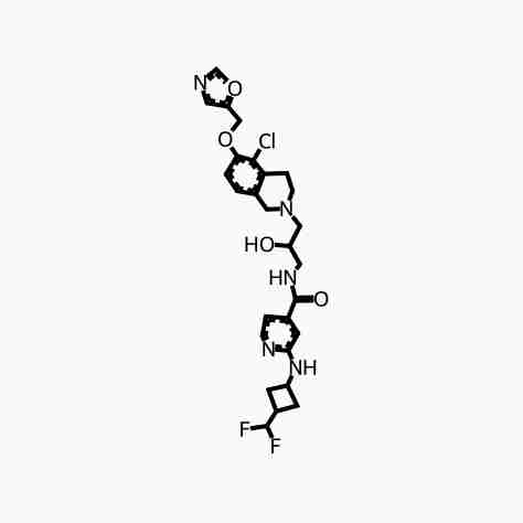 O=C(NCC(O)CN1CCc2c(ccc(OCc3cnco3)c2Cl)C1)c1ccnc(NC2CC(C(F)F)C2)c1